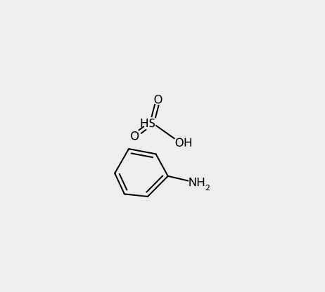 Nc1ccccc1.O=[SH](=O)O